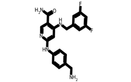 NCc1ccc(Nc2cc(NCc3cc(F)cc(F)c3)c(C(N)=O)cn2)cc1